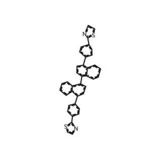 c1ccc2c(-c3ccc(-c4ccc(-c5nccs5)cc4)c4ccccc34)ccc(-c3ccc(-c4nccs4)cc3)c2c1